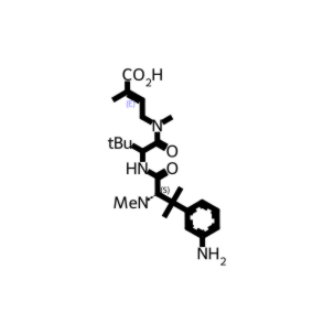 CN[C@H](C(=O)NC(C(=O)N(C)C/C=C(\C)C(=O)O)C(C)(C)C)C(C)(C)c1cccc(N)c1